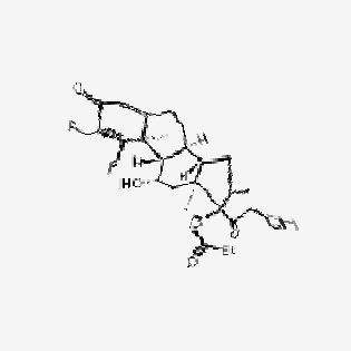 CCC(=O)O[C@]1(C(=O)CO)[C@H](C)C[C@H]2[C@@H]3CCC4=CC(=O)C(F)=C(F)[C@]4(C)[C@H]3[C@@H](O)C[C@@]21C